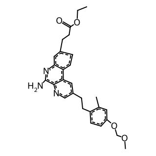 CCOC(=O)CCc1ccc2c(c1)nc(N)c1ncc(CCc3ccc(OCOC)cc3C)cc12